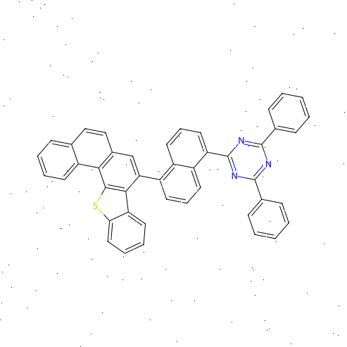 c1ccc(-c2nc(-c3ccccc3)nc(-c3cccc4c(-c5cc6ccc7ccccc7c6c6sc7ccccc7c56)cccc34)n2)cc1